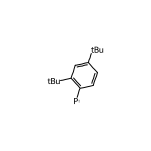 CC(C)(C)c1ccc([P])c(C(C)(C)C)c1